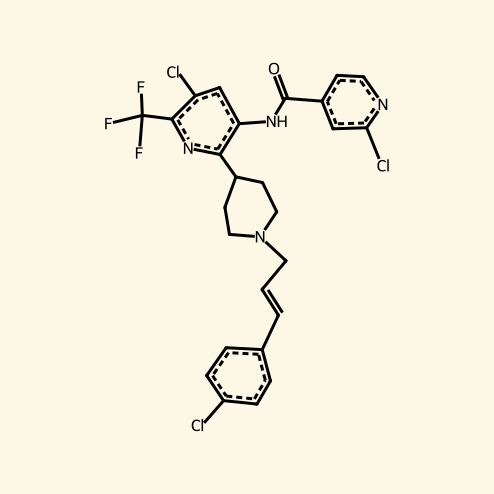 O=C(Nc1cc(Cl)c(C(F)(F)F)nc1C1CCN(CC=Cc2ccc(Cl)cc2)CC1)c1ccnc(Cl)c1